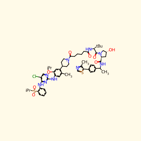 Cc1cc(Nc2ncc(Cl)c(Nc3ccccc3S(=O)(=O)C(C)C)n2)c(OC(C)C)cc1C1CCN(C(=O)CCCCC(=O)N[C@H](C(=O)N2C[C@H](O)C[C@H]2C(=O)NC(C)c2ccc(-c3scnc3C)cc2)C(C)(C)C)CC1